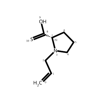 C=CCN1CCC[C@H]1C(O)=S